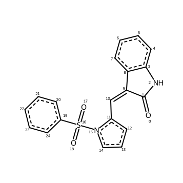 O=C1Nc2ccccc2/C1=C/c1cccn1S(=O)(=O)c1ccccc1